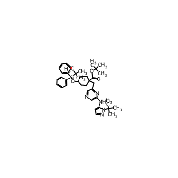 CC(C)(C)OC(=O)C1(Cc2cncc(Nc3ccnn3C(C)(C)C)n2)CCC(O[Si](c2ccccc2)(c2ccccc2)C(C)(C)C)CC1